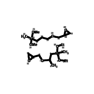 CCO[Si](C)(CC(C)OCC1CO1)OCC.CO[Si](C)(CCCOCC1CO1)OC